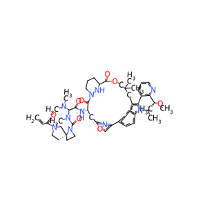 C=CC(=O)N1CC[C@]2(CCN2C(=O)N(C)[C@H](C(=O)N[C@H]2Cc3nc(co3)-c3ccc4c(c3)c(c(-c3cccnc3[C@H](C)OC)n4CC)CC(C)(C)COC(=O)C3CCCN(N3)C2=O)N(C)C)C1